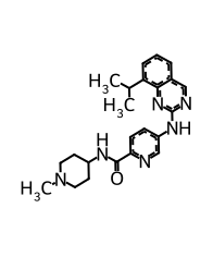 CC(C)c1cccc2cnc(Nc3ccc(C(=O)NC4CCN(C)CC4)nc3)nc12